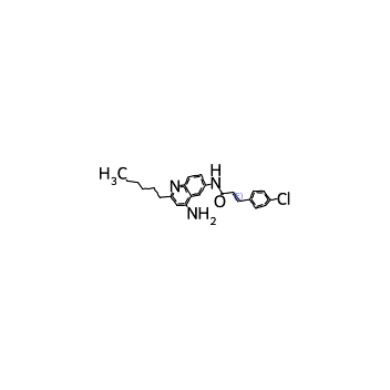 CCCCCCc1cc(N)c2cc(NC(=O)/C=C/c3ccc(Cl)cc3)ccc2n1